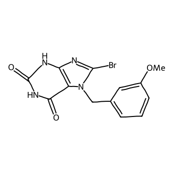 COc1cccc(Cn2c(Br)nc3[nH]c(=O)[nH]c(=O)c32)c1